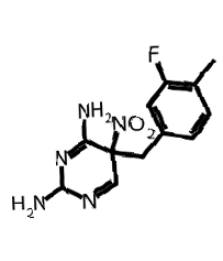 Cc1ccc(CC2([N+](=O)[O-])C=NC(N)N=C2N)cc1F